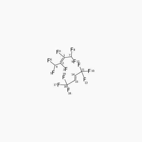 FC(=C(F)C(F)F)C(F)F.FC(F)(F)C=CC(F)(F)F